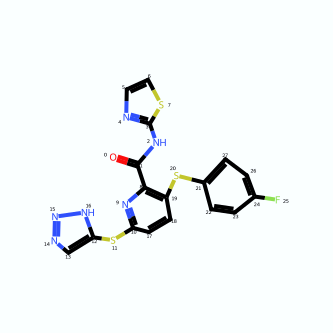 O=C(Nc1nccs1)c1nc(Sc2cnn[nH]2)ccc1Sc1ccc(F)cc1